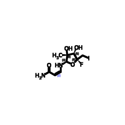 C[C@]1(O)[C@H](N/C=C\C(N)=O)O[C@](F)(CI)[C@H]1O